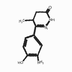 CC1CC(=O)NN=C1c1ccc(O)c(N)c1